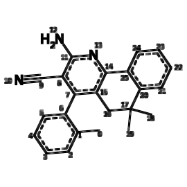 Cc1ccccc1-c1c(C#N)c(N)nc2c1CC(C)(C)c1ccccc1-2